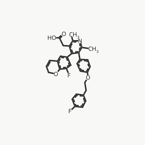 Cc1nc(C)c(-c2ccc(OCCc3ccc(F)cc3)cc2)c(-c2cc(F)c3c(c2)C=CCO3)c1CC(=O)O